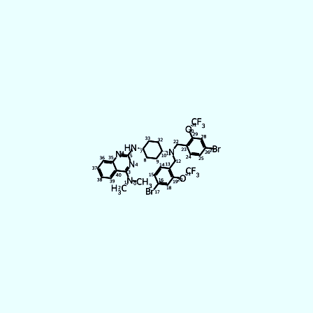 CN(C)c1nc(N[C@H]2CC[C@@H](N(Cc3ccc(Br)cc3OC(F)(F)F)Cc3ccc(Br)cc3OC(F)(F)F)CC2)nc2ccccc12